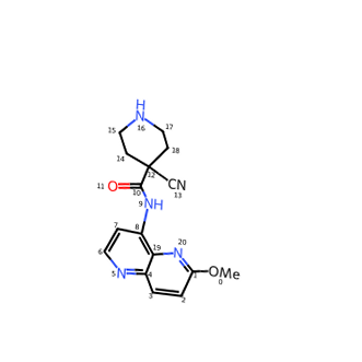 COc1ccc2nccc(NC(=O)C3(C#N)CCNCC3)c2n1